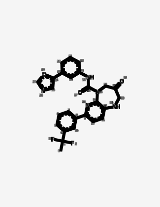 CC(F)(F)c1cccc(-c2ccc3c(n2)N(C(=O)Nc2cccc(-c4cnco4)c2)CC(=O)CN3)c1